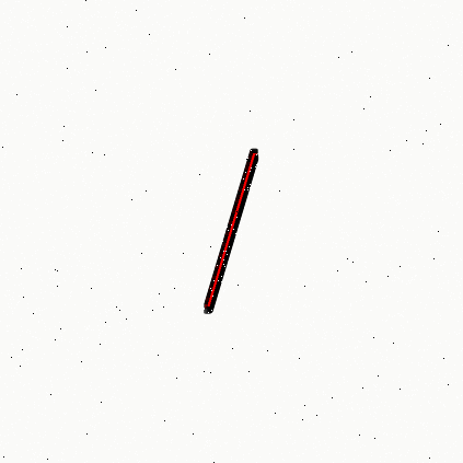 S=S=S=S=S=S=S=S=S=S=S=S=S=S=S=S=S=S=S=S=S=S=S=S=S=S=S=S=S=S=S=S=S=S=S=S=S=S=S=S=S=S=S=S=S=S=S=S=S=S=S=S=S=S=S=S=S=S=S=S=S=S=S=S=S=S=S=S=S=S=S=S=S=S=S=S=S=S=S=S=S=S=S=S=S=S=S=S=S=S=S=S=S=S=S=S=S=S=S=S=S=S=S=S=S=S=S=S=S=S=S=S=S=S=S=S=S=S=S=S=S=S=S=S=S=S=S=S=S=S=S=S=S=S=S=S=S=S=S=S=S